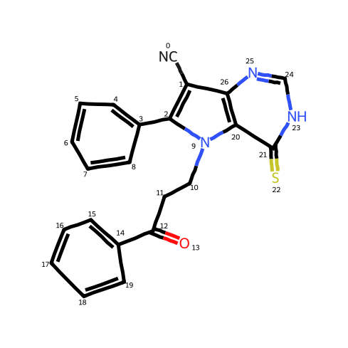 N#Cc1c(-c2ccccc2)n(CCC(=O)c2ccccc2)c2c(=S)[nH]cnc12